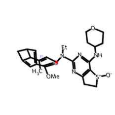 CCN(C/C=C(\C)C1C2=CC(C(=O)OC)=CC1C2)c1nc2c(c(NC3CCOCC3)n1)[S+]([O-])CC2